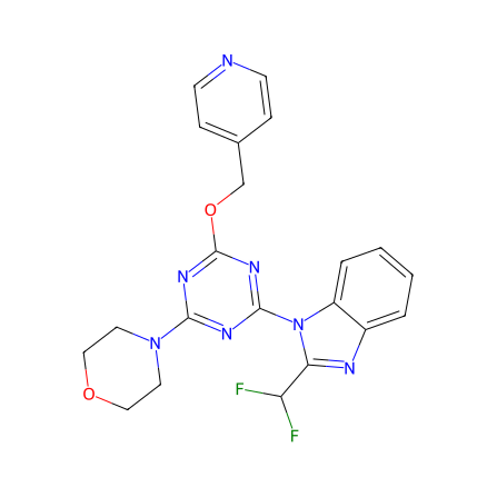 FC(F)c1nc2ccccc2n1-c1nc(OCc2ccncc2)nc(N2CCOCC2)n1